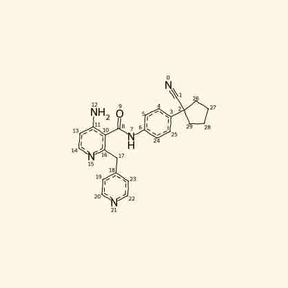 N#CC1(c2ccc(NC(=O)c3c(N)ccnc3Cc3ccncc3)cc2)CCCC1